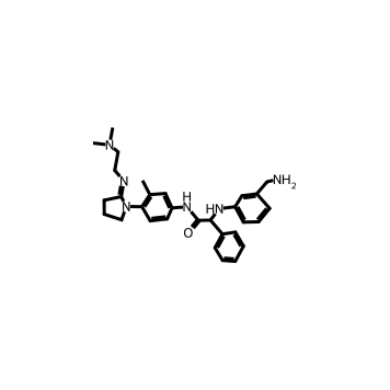 Cc1cc(NC(=O)C(Nc2cccc(CN)c2)c2ccccc2)ccc1N1CCC/C1=N\CCN(C)C